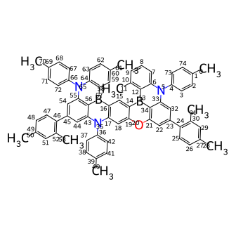 Cc1ccc(N2c3cccc(C)c3B3c4cc5c(cc4Oc4cc(-c6ccc(C)cc6C)cc2c43)N(c2ccc(C)cc2)c2cc(-c3ccc(C)cc3C)cc3c2B5c2cc(C)ccc2N3c2ccc(C)cc2)cc1